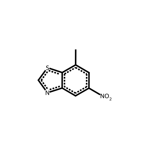 Cc1cc([N+](=O)[O-])cc2ncsc12